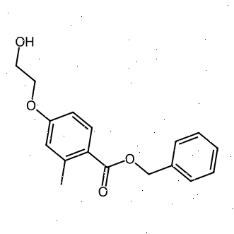 Cc1cc(OCCO)ccc1C(=O)OCc1ccccc1